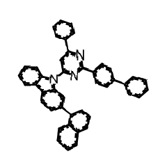 c1ccc(-c2ccc(-c3nc(-c4ccccc4)cc(-n4c5ccccc5c5ccc(-c6cccc7ccccc67)cc54)n3)cc2)cc1